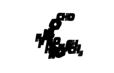 CN(C)c1ccn2ncc(C(=O)Nc3cn(C4CCC(C=O)CC4)nc3C(F)F)c2n1